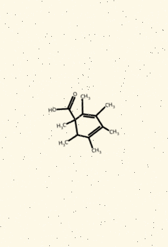 CC1=C(C)C(C)C(C)(C(=O)O)C(C)=C1C